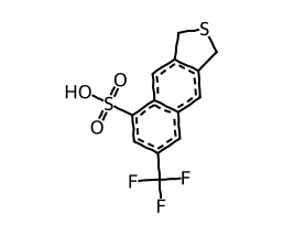 O=S(=O)(O)c1cc(C(F)(F)F)cc2cc3c(cc12)CSC3